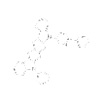 c1ccc(-c2ccc(-n3c4ccccc4c4cc5cc6c7ccccc7n(-c7ccccc7)c6cc5cc43)cn2)cc1